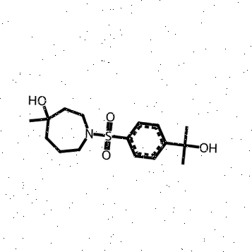 CC1(O)CCCN(S(=O)(=O)c2ccc(C(C)(C)O)cc2)CC1